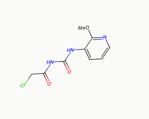 COc1ncccc1NC(=O)NC(=O)CCl